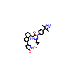 Cc1n[nH]c(C)c1-c1ccc(NC(=O)C(NC(=O)C2(F)CC2)[C@@H]2CCCc3ccc(-c4ccc(=O)n(C(C)C)c4)cc32)cc1